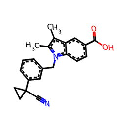 Cc1c(C)n(Cc2cccc(C3(C#N)CC3)c2)c2ccc(C(=O)O)cc12